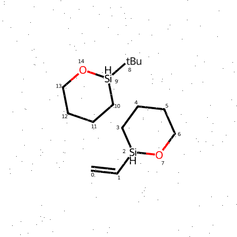 C=C[SiH]1CCCCO1.CC(C)(C)[SiH]1CCCCO1